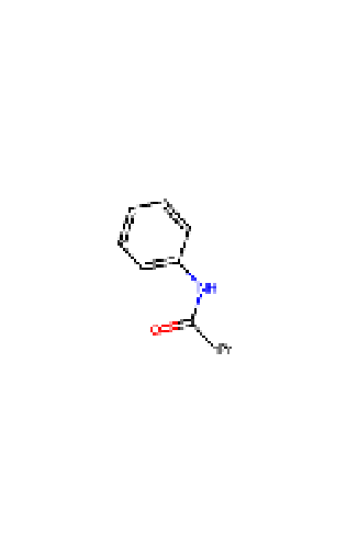 CCCC(=O)Nc1c[c]ccc1